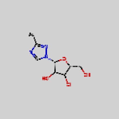 CC(=O)c1ncn([C@@H]2O[C@H](CO)C(O)C2O)n1